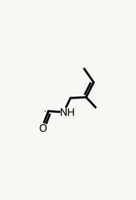 CC=C(C)CN[C]=O